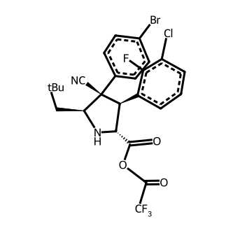 CC(C)(C)C[C@@H]1N[C@@H](C(=O)OC(=O)C(F)(F)F)[C@H](c2cccc(Cl)c2F)[C@@]1(C#N)c1ccc(Br)cc1